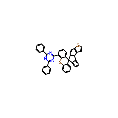 c1ccc(-c2nc(-c3ccccc3)nc(-c3cccc4c3Sc3ccccc3C43c4ccccc4-c4c3ccc3sccc43)n2)cc1